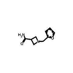 NC(=O)C1CN(Cc2ccco2)C1